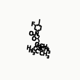 CC(C)(C)[Si](C)(C)OCC1CN(c2ccc(I)c(F)c2)C(=O)O1